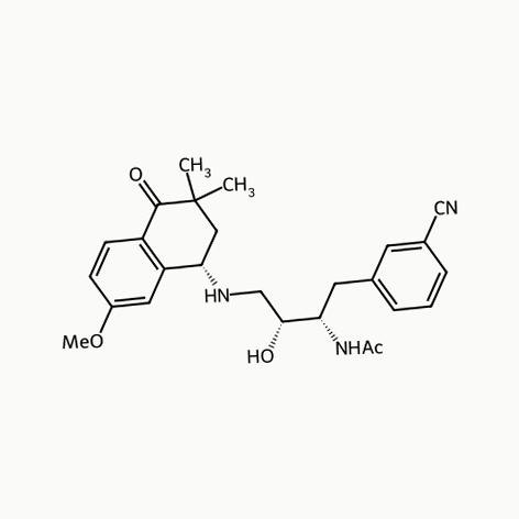 COc1ccc2c(c1)[C@@H](NC[C@@H](O)[C@H](Cc1cccc(C#N)c1)NC(C)=O)CC(C)(C)C2=O